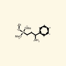 CCO[Si](CCC(N)c1ccccc1)(OC)OC